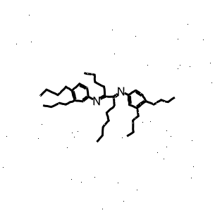 CCCCCCC(=Nc1ccc(CCCC)c(CCCC)c1)C(CCCC)=Nc1ccc(CCCC)c(CCCC)c1